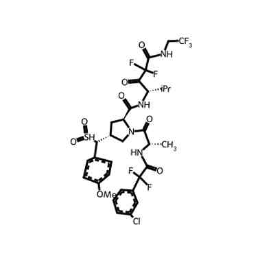 COc1ccc(C([C@@H]2C[C@@H](C(=O)N[C@H](C(=O)C(F)(F)C(=O)NCC(F)(F)F)C(C)C)N(C(=O)[C@H](C)NC(=O)C(F)(F)c3cccc(Cl)c3)C2)[SH](=O)=O)cc1